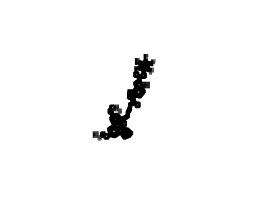 COc1ccc(C(OCCCCCC(=O)n2ccc3c4c(ccc32)NC(C(=O)Oc2c(F)c(F)c(F)c(F)c2F)C4)(c2ccccc2)c2ccc(OC)cc2)cc1